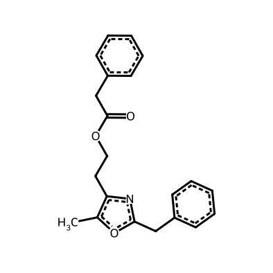 Cc1oc(Cc2ccccc2)nc1CCOC(=O)Cc1ccccc1